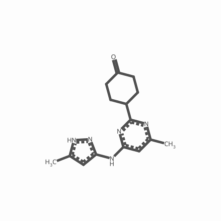 Cc1cc(Nc2cc(C)[nH]n2)nc(C2CCC(=O)CC2)n1